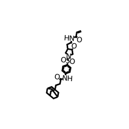 C=CC(=O)NC1CC2CN(S(=O)(=O)c3ccc(NC(=O)CCC45CC6CC(CC(C6)C4)C5)cc3)CC2O1